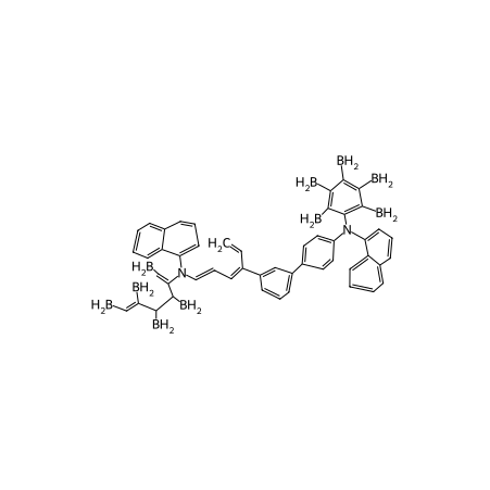 B/C=C(/C(B)C(B)/C(B)=C/B)N(/C=C/C=C(\C=C)c1cccc(-c2ccc(N(c3c(B)c(B)c(B)c(B)c3B)c3cccc4ccccc34)cc2)c1)c1cccc2ccccc12